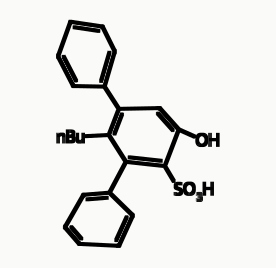 CCCCc1c(-c2ccccc2)cc(O)c(S(=O)(=O)O)c1-c1ccccc1